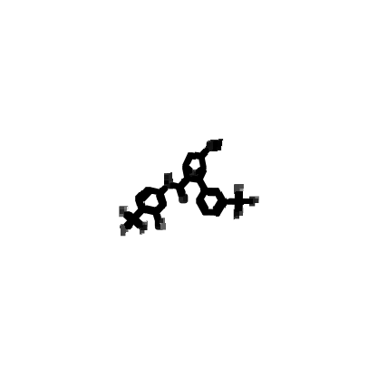 O=C(Nc1ccc(C(F)(F)F)c(Cl)c1)C1C2CC(O)C(O2)C1c1cccc(C(F)(F)F)c1